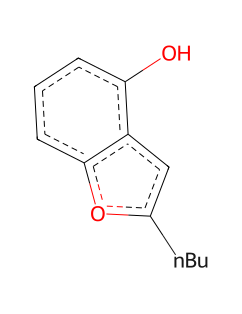 CCCCc1cc2c(O)cccc2o1